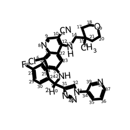 [2H]C(Nc1cc(Cl)c2ncc(C#N)c(NCC3(C)CCOCC3)c2c1)(c1ccc(F)cc1)c1cn(-c2cccnc2)nn1